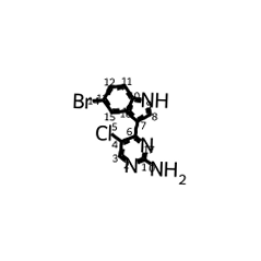 Nc1ncc(Cl)c(-c2c[nH]c3ccc(Br)cc23)n1